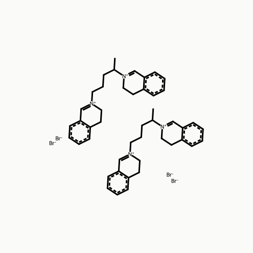 CC(CCC[N+]1=Cc2ccccc2CC1)[N+]1=Cc2ccccc2CC1.CC(CCC[N+]1=Cc2ccccc2CC1)[N+]1=Cc2ccccc2CC1.[Br-].[Br-].[Br-].[Br-]